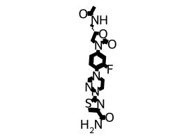 CC(=O)NC[C@H]1CN(c2ccc(N3C=NN(c4nc(C(N)=O)cs4)CC3)c(F)c2)C(=O)O1